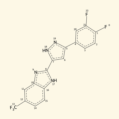 Fc1ccc(-c2cc(-c3nc4cc(C(F)(F)F)ccc4[nH]3)[nH]n2)cc1F